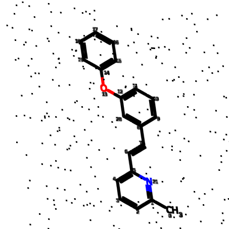 Cc1cccc(C=Cc2cccc(Oc3ccccc3)c2)n1